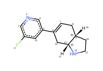 Fc1cncc(C2=CC[C@@H]3CCN[C@@H]3C2)c1